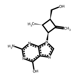 C=C1[C@@H](n2cnc3c(O)nc(N)nc32)[C@H](C)[C@H]1CO